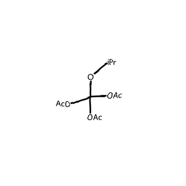 CC(=O)OC(OC(C)=O)(OC(C)=O)OC(C)C